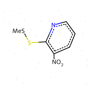 CSSc1ncccc1[N+](=O)[O-]